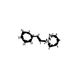 C(=C[n+]1ccccn1)c1ccccc1